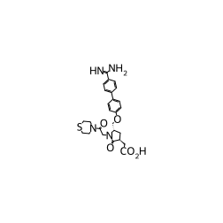 N=C(N)c1ccc(-c2ccc(OC[C@@H]3C[C@@H](CC(=O)O)C(=O)N3CC(=O)N3CCSCC3)cc2)cc1